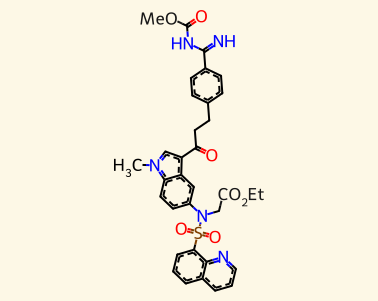 CCOC(=O)CN(c1ccc2c(c1)c(C(=O)CCc1ccc(C(=N)NC(=O)OC)cc1)cn2C)S(=O)(=O)c1cccc2cccnc12